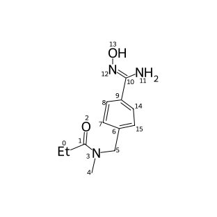 CCC(=O)N(C)Cc1ccc(/C(N)=N/O)cc1